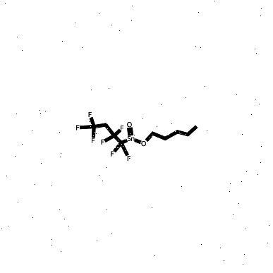 CCCCC[O][Sn](=[O])[C](F)(F)C(F)(F)CC(F)(F)F